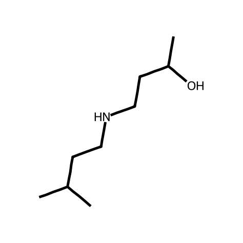 CC(C)CCNCCC(C)O